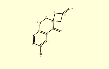 C=C1c2cc(Br)ccc2OCC12CC(=O)C2